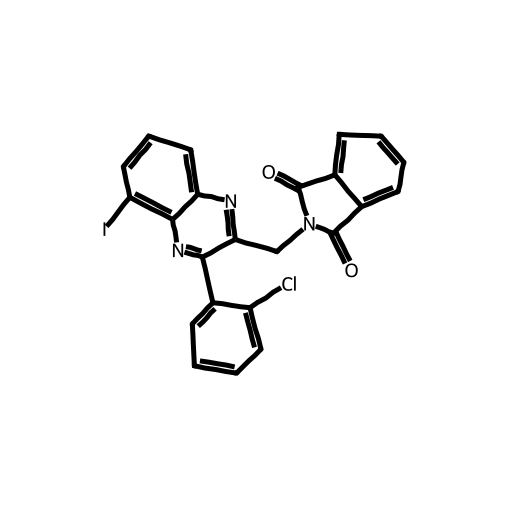 O=C1c2ccccc2C(=O)N1Cc1nc2cccc(I)c2nc1-c1ccccc1Cl